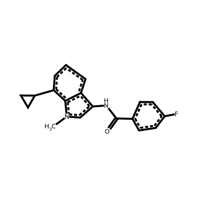 Cn1cc(NC(=O)c2ccc(F)cc2)c2cccc(C3CC3)c21